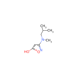 CC(C)CN(C)c1cc(O)on1